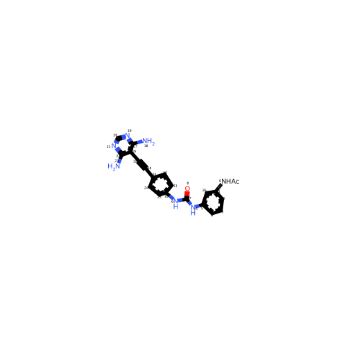 CC(=O)Nc1cccc(NC(=O)Nc2ccc(C#Cc3c(N)ncnc3N)cc2)c1